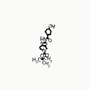 CC(C)(C)OC(=O)N1CCc2nc(NC(=O)C3CCC(O)CC3)sc2C1